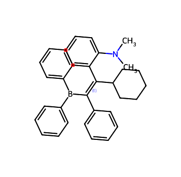 CN(C)c1ccccc1/C(=C(\B(c1ccccc1)c1ccccc1)c1ccccc1)C1CCCCC1